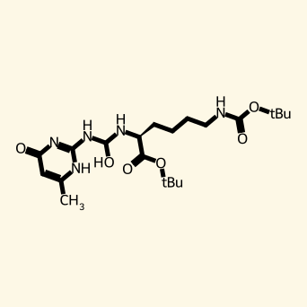 Cc1cc(=O)nc(NC(O)N[C@@H](CCCCNC(=O)OC(C)(C)C)C(=O)OC(C)(C)C)[nH]1